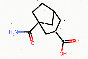 NC(=O)C12CCC(CC(C(=O)O)C1)C2